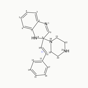 C1=Nc2ccccc2NC1(/C=C/c1ccccc1)N1CCNCC1